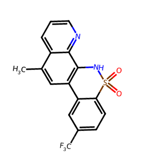 Cc1cc2c(c3ncccc13)NS(=O)(=O)c1ccc(C(F)(F)F)cc1-2